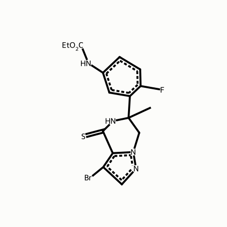 CCOC(=O)Nc1ccc(F)c(C2(C)Cn3ncc(Br)c3C(=S)N2)c1